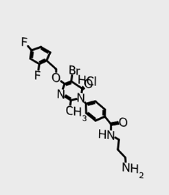 Cc1nc(OCc2ccc(F)cc2F)c(Br)c(=O)n1-c1ccc(C(=O)NCCCN)cc1.Cl